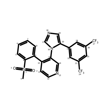 CS(=O)(=O)c1ccccc1-c1ccncc1-n1cncc1-c1cc(C(F)(F)F)cc(C(F)(F)F)c1